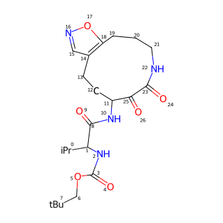 CC(C)C(NC(=O)OCC(C)(C)C)C(=O)NC1CCc2cnoc2CCCNC(=O)C1=O